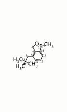 CB1OCc2c(CC(C)(C)C)cccc21